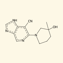 CC1(O)CCCN(c2ncc3nc[nH]c3c2C#N)C1